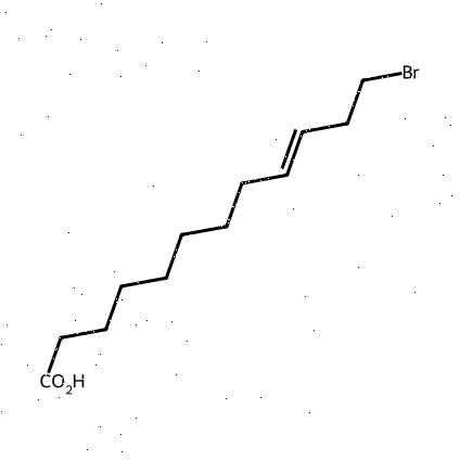 O=C(O)CCCCCCCC=CCCBr